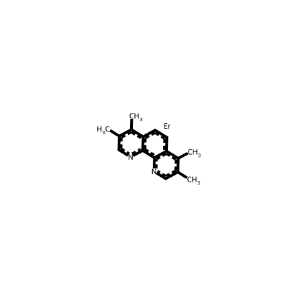 Cc1cnc2c(ccc3c(C)c(C)cnc32)c1C.[Er]